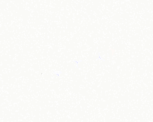 CC(C)(C)c1ccc2c(n1)CCN(CCN1CCOCC1)C2